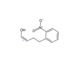 O=[N+]([O-])c1ccccc1CC/C=C\O